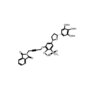 CCCOc1c(OCC#CCN2C(=O)c3ccccc3C2=O)cc([C@H]2CC[C@H](c3cc(OC)c(OC)c(OC)c3)O2)cc1S(C)(=O)=O